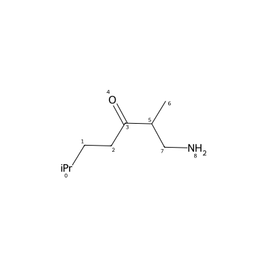 CC(C)CCC(=O)C(C)CN